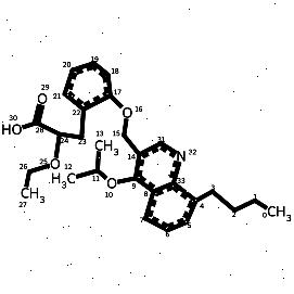 CCCCc1cccc2c(OC(C)C)c(COc3ccccc3CC(OCC)C(=O)O)cnc12